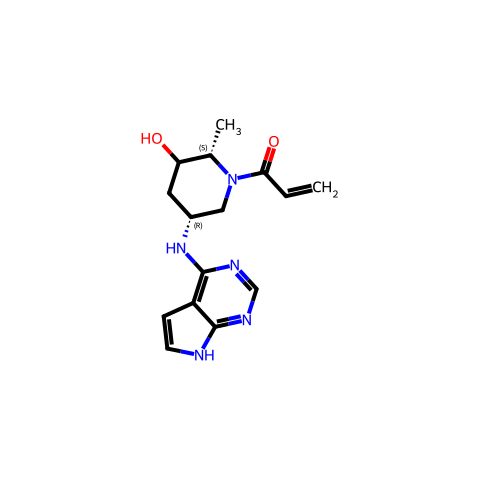 C=CC(=O)N1C[C@H](Nc2ncnc3[nH]ccc23)CC(O)[C@@H]1C